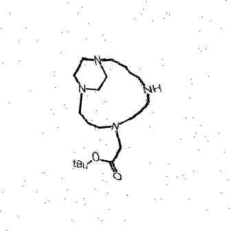 CC(C)(C)OC(=O)CN1CCCN2CCN(CCCNCC1)CC2